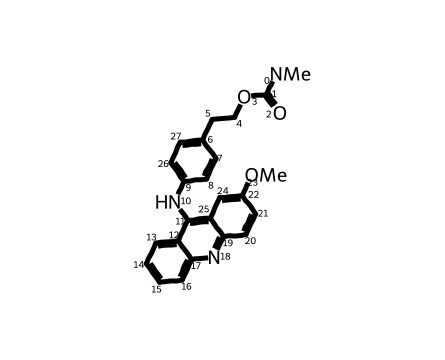 CNC(=O)OCCc1ccc(Nc2c3ccccc3nc3ccc(OC)cc23)cc1